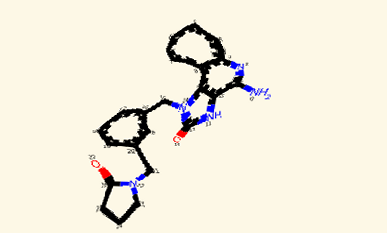 Nc1nc2ccccc2c2c1[nH]c(=O)n2Cc1cccc(CN2CCCC2=O)c1